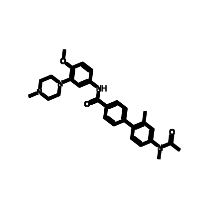 COc1ccc(NC(=O)c2ccc(-c3ccc(N(C)C(C)=O)cc3C)cc2)cc1N1CCN(C)CC1